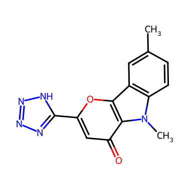 Cc1ccc2c(c1)c1oc(-c3nnn[nH]3)cc(=O)c1n2C